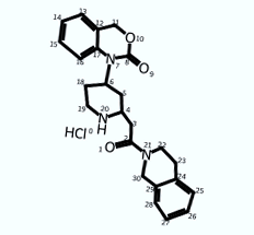 Cl.O=C(CC1CC(N2C(=O)OCc3ccccc32)CCN1)N1CCc2ccccc2C1